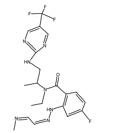 CCN(C(=O)c1ccc(F)cc1N/N=C\C=N/C)C(C)CNc1ncc(C(F)(F)F)cn1